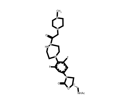 CC(=O)NC[C@H]1CN(c2cc(F)c(N3CCNN(C(=O)CN4CCN(C)CC4)CC3)c(F)c2)C(=O)O1